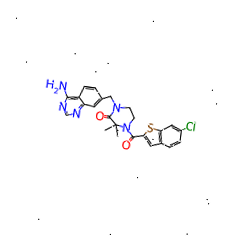 CC1(C)C(=O)N(Cc2ccc3c(N)ncnc3c2)CCN1C(=O)c1cc2ccc(Cl)cc2s1